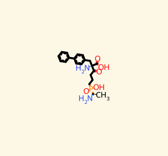 C[C@H](N)P(=O)(O)CCCC(=O)[C@@](N)(Cc1ccc(-c2ccccc2)cc1)C(=O)O